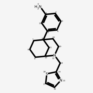 Nc1cccc(C23CCCC(C2)N(Cc2nccs2)CC3)c1